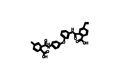 C=Cc1ccc(C(=O)O)c(C(=O)Nc2cccc(Oc3ccc(NC(=O)c4cc(C)ccc4C(=O)O)cc3)c2)c1